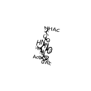 CC(=O)NCCCOC(=O)Nc1nc(=O)n([C@@H]2O[C@H](C)[C@@H](OC(C)=O)[C@H]2OC(C)=O)cc1I